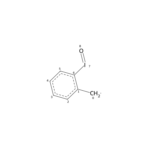 [CH2]c1ccccc1I=O